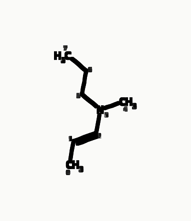 C/C=C/N(C)CCC